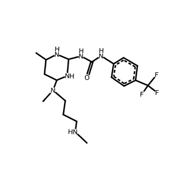 CNCCCN(C)C1CC(C)NC(NC(=O)Nc2ccc(C(F)(F)F)cc2)N1